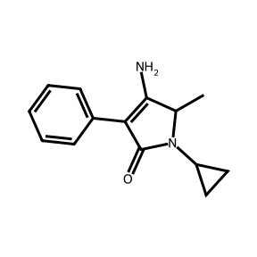 CC1C(N)=C(c2ccccc2)C(=O)N1C1CC1